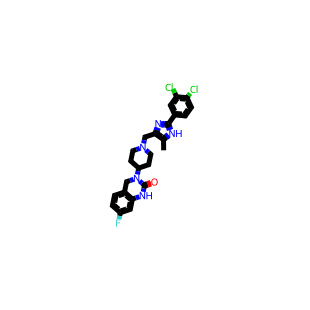 Cc1[nH]c(-c2ccc(Cl)c(Cl)c2)nc1CN1CCC(N2Cc3ccc(F)cc3NC2=O)CC1